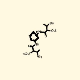 CCCCCCCCC(C(=O)Nc1c[c]cc(NC(=O)C(CCCCCCCC)C(C)CCCC)c1)C(C)CCCC